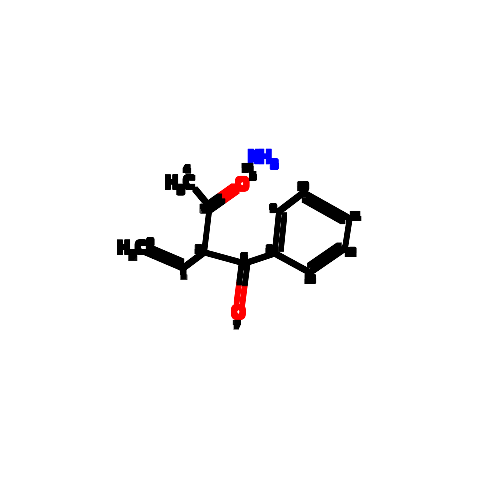 C=CC(C(C)=O)C(=O)c1ccccc1.N